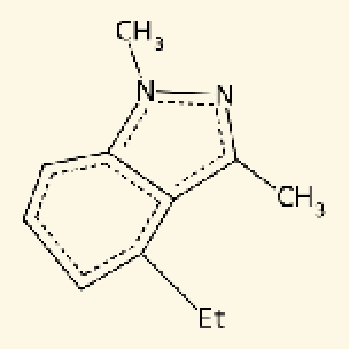 CCc1cccc2c1c(C)nn2C